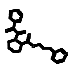 O=C(C(=O)N1CCCCC1C(=O)OCCCc1cccnc1)c1ccccc1